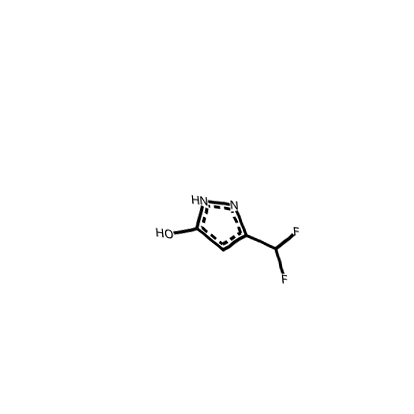 Oc1cc(C(F)F)n[nH]1